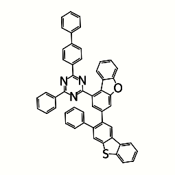 c1ccc(-c2ccc(-c3nc(-c4ccccc4)nc(-c4cc(-c5cc6c(cc5-c5ccccc5)sc5ccccc56)cc5oc6ccccc6c45)n3)cc2)cc1